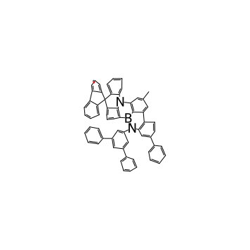 Cc1cc2c3c(c1)N1c4ccccc4C4(c5ccccc5-c5ccccc54)c4cccc(c41)B3N(c1cc(-c3ccccc3)cc(-c3ccccc3)c1)c1cc(-c3ccccc3)ccc1-2